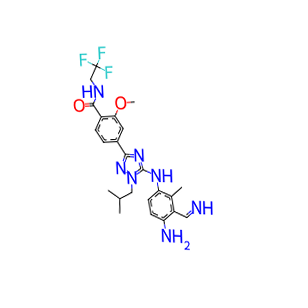 COc1cc(-c2nc(Nc3ccc(N)c(C=N)c3C)n(CC(C)C)n2)ccc1C(=O)NCC(F)(F)F